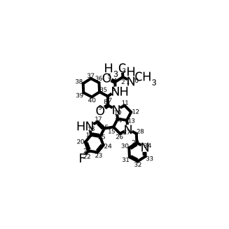 CNC(C)C(=O)NC(C(=O)N1CCC2C1C(c1c[nH]c3cc(F)ccc13)CN2Cc1ccccn1)C1CCCCC1